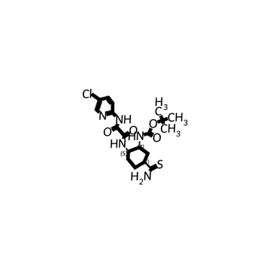 CC(C)(C)OC(=O)N[C@@H]1C[C@@H](C(N)=S)CC[C@@H]1NC(=O)C(=O)Nc1ccc(Cl)cn1